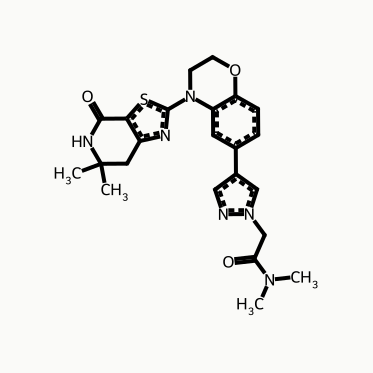 CN(C)C(=O)Cn1cc(-c2ccc3c(c2)N(c2nc4c(s2)C(=O)NC(C)(C)C4)CCO3)cn1